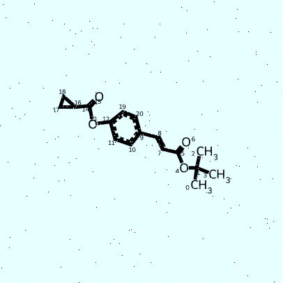 CC(C)(C)OC(=O)C=Cc1ccc(OC(=O)C2CC2)cc1